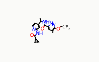 Cc1cc(C(=O)NC(C)c2ccnc(NC(=O)C3CC3)c2)nnc1OCC(F)(F)F